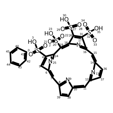 O=S(=O)(O)C1=CC2=CC3=NC(=CC4=NC(=CC5=NC(=C(S(=O)(=O)O)C1=N2)C(S(=O)(=O)O)=C5S(=O)(=O)O)C=C4)C=C3.c1ccccc1